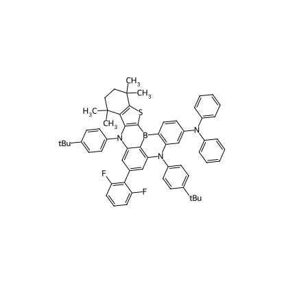 CC(C)(C)c1ccc(N2c3cc(N(c4ccccc4)c4ccccc4)ccc3B3c4sc5c(c4N(c4ccc(C(C)(C)C)cc4)c4cc(-c6c(F)cccc6F)cc2c43)C(C)(C)CCC5(C)C)cc1